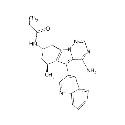 C=CC(=O)NC1Cc2c(c(-c3cnc4ccccc4c3)c3c(N)ncnn23)[C@@H](C)C1